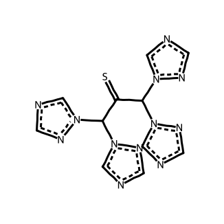 S=C(C(n1cncn1)n1cncn1)C(n1cncn1)n1cncn1